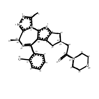 Cc1nnc2n1-c1sc3c(c1C(c1ccccc1Cl)=N[C@H]2C)C[C@H](CC(=O)N1CCOCC1)C3